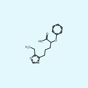 CCc1ocnc1CCCC(Oc1ccccc1)C(=O)O